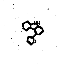 c1coc(-c2cccc3[nH]c4ccccc4c23)c1